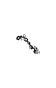 O=C(c1cc2ccccc2s1)N1CCC(N2C[C](n3cc(-c4ncnc5[nH]ccc45)cn3)C2)CC1